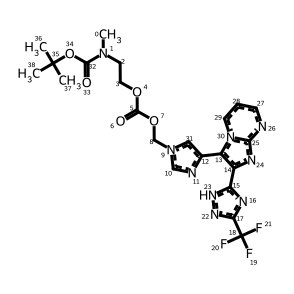 CN(CCOC(=O)OCn1cnc(-c2c(-c3nc(C(F)(F)F)n[nH]3)nc3ncccn23)c1)C(=O)OC(C)(C)C